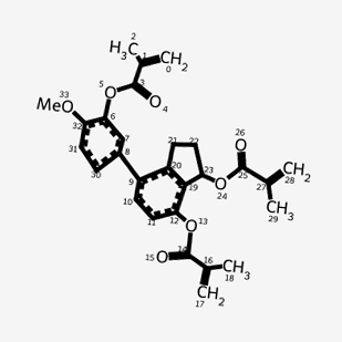 C=C(C)C(=O)Oc1cc(-c2ccc(OC(=O)C(=C)C)c3c2CCC3OC(=O)C(=C)C)ccc1OC